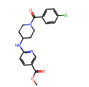 COC(=O)c1ccc(NC2CCN(C(=O)c3ccc(Cl)cc3)CC2)nc1